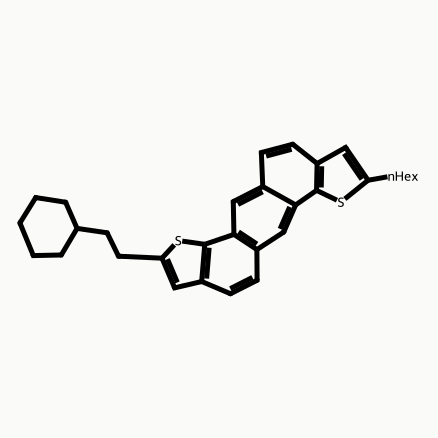 CCCCCCc1cc2ccc3cc4c(ccc5cc(CCC6CCCCC6)sc54)cc3c2s1